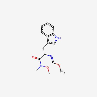 BOC=N[C@@H](Cc1c[nH]c2ccccc12)C(=O)N(C)OC